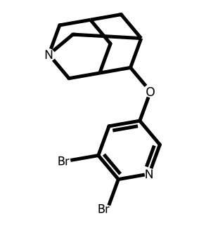 Brc1cc(OC2C3CC4CC2CN(C4)C3)cnc1Br